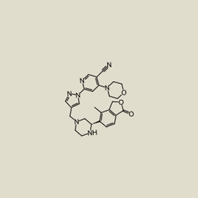 Cc1c([C@@H]2CN(Cc3cnn(-c4cc(N5CCOCC5)c(C#N)cn4)c3)CCN2)ccc2c1COC2=O